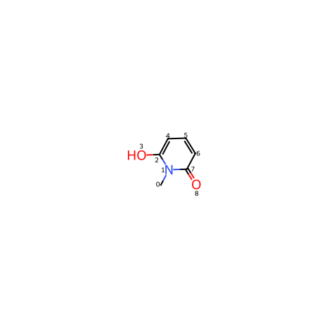 Cn1c(O)cccc1=O